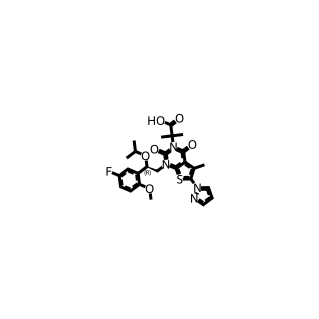 COc1ccc(F)cc1[C@H](Cn1c(=O)n(C(C)(C)C(=O)O)c(=O)c2c(C)c(-n3cccn3)sc21)OC(C)C